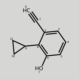 C#Cc1cccc(O)c1C1CC1